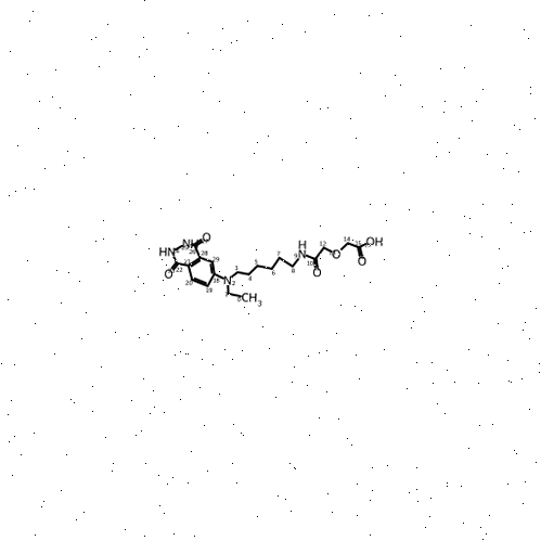 CCN(CCCCCCNC(=O)COCC(=O)O)c1ccc2c(=O)[nH][nH]c(=O)c2c1